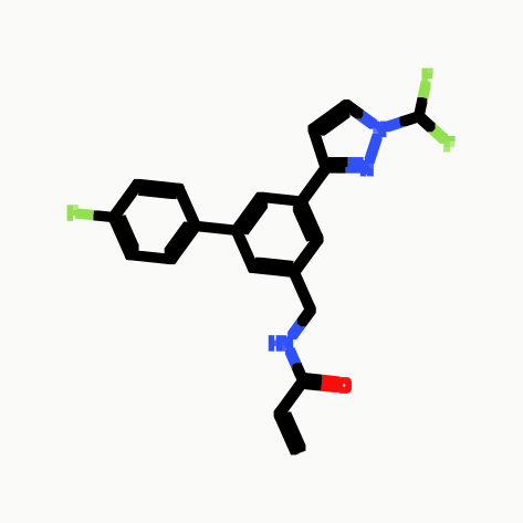 C=CC(=O)NCc1cc(-c2ccc(F)cc2)cc(-c2ccn(C(F)F)n2)c1